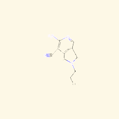 CCCN1Cc2cnc(N)c(C#N)c2C1